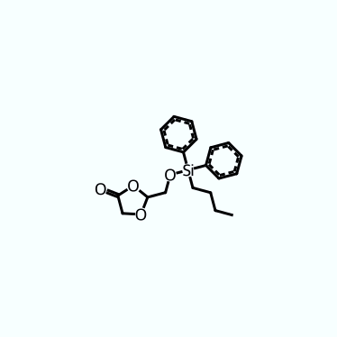 CCCC[Si](OCC1OCC(=O)O1)(c1ccccc1)c1ccccc1